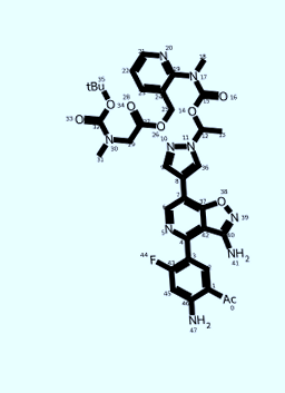 CC(=O)c1cc(-c2ncc(-c3cnn(C(C)OC(=O)N(C)c4ncccc4COC(=O)CN(C)C(=O)OC(C)(C)C)c3)c3onc(N)c23)c(F)cc1N